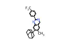 Cc1cc2cnc(-c3ccc(C(F)(F)F)cc3)nc2cc1C12CC3CC(CC(C3)C1)C2